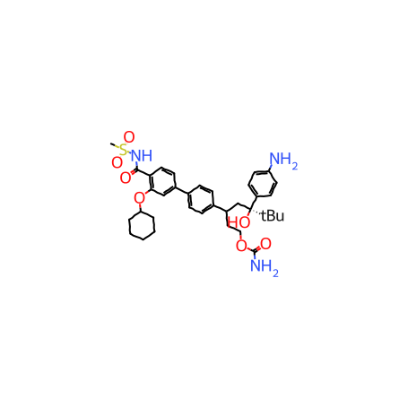 CC(C)(C)[C@](O)(CC(CCOC(N)=O)c1ccc(-c2ccc(C(=O)NS(C)(=O)=O)c(OC3CCCCC3)c2)cc1)c1ccc(N)cc1